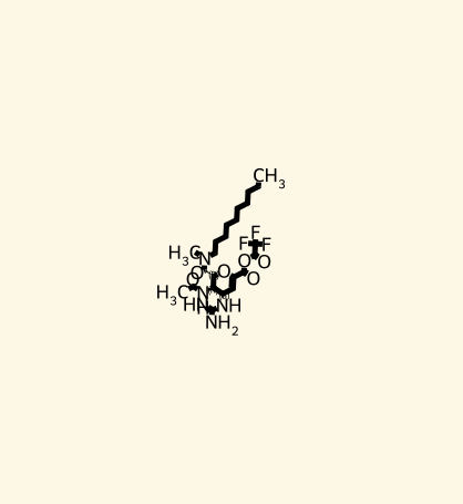 CCCCCCCCCCN(C)C(=O)[C@@H]1OC(C(=O)OC(=O)C(F)(F)F)=C[C@H](NC(=N)N)[C@H]1NC(C)=O